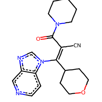 N#CC(C(=O)N1CCCCC1)=C(C1CCOCC1)n1cnc2cnccc21